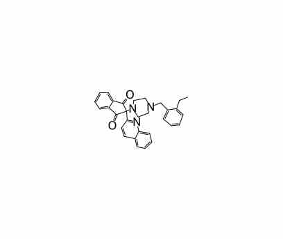 CCc1ccccc1CN1CCN(C2(c3ccc4ccccc4n3)C(=O)c3ccccc3C2=O)CC1